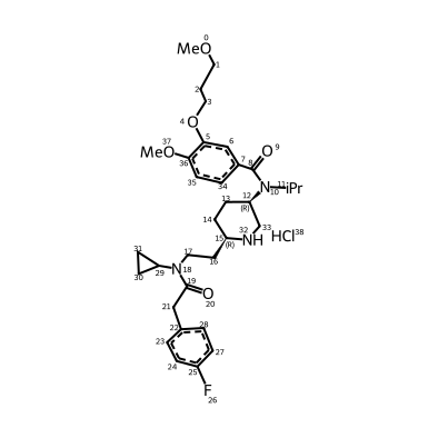 COCCCOc1cc(C(=O)N(C(C)C)[C@@H]2CC[C@H](CCN(C(=O)Cc3ccc(F)cc3)C3CC3)NC2)ccc1OC.Cl